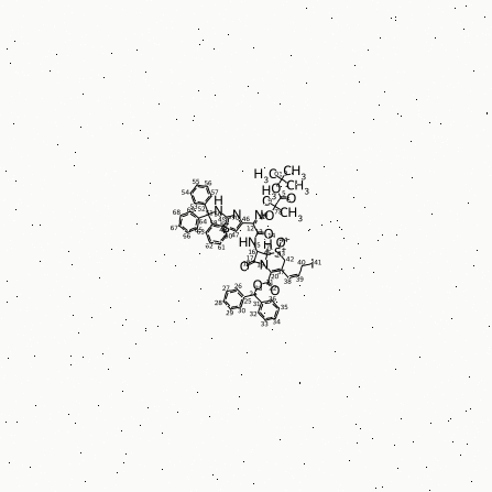 CC(C)(C)OC(=O)C(C)(C)O/N=C(\C(=O)NC1C(=O)N2C(C(=O)OC(c3ccccc3)c3ccccc3)=C(/C=C\CI)C[S+]([O-])[C@@H]12)c1csc(NC(c2ccccc2)(c2ccccc2)c2ccccc2)n1